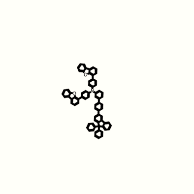 c1ccc(C2(c3ccccc3)c3ccccc3-c3cc(-c4ccc(-c5cccc(N(c6ccc(-c7cccc8c7oc7ccccc78)cc6)c6ccc(-c7cccc8c7oc7ccccc78)cc6)c5)cc4)ccc32)cc1